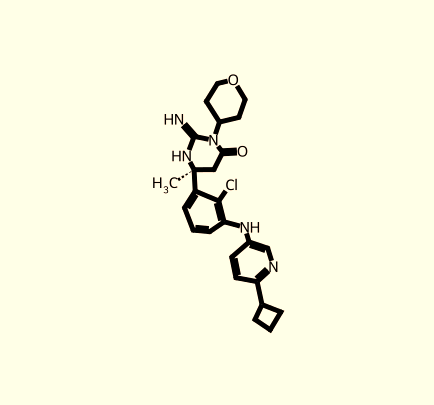 C[C@@]1(c2cccc(Nc3ccc(C4CCC4)nc3)c2Cl)CC(=O)N(C2CCOCC2)C(=N)N1